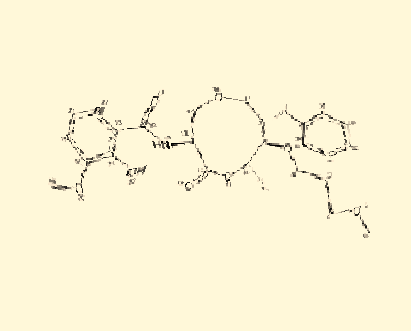 COCCCO[C@@H]1[C@@H](Cc2ccccc2)COC[C@H](NC(=O)c2nccc(OC)c2O)C(=O)O[C@H]1C